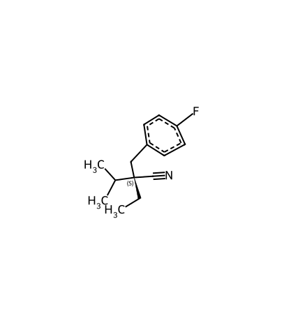 CC[C@](C#N)(Cc1ccc(F)cc1)C(C)C